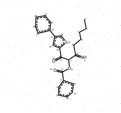 CCCCCC(=N)C(OC(=O)c1ccccc1)C(=O)c1cc(-c2ccccc2)cs1